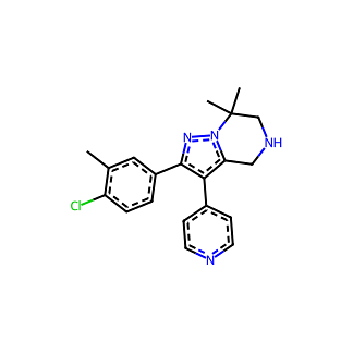 Cc1cc(-c2nn3c(c2-c2ccncc2)CNCC3(C)C)ccc1Cl